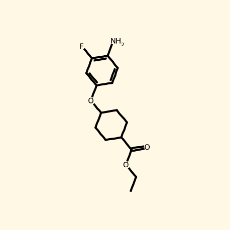 CCOC(=O)C1CCC(Oc2ccc(N)c(F)c2)CC1